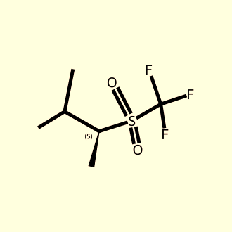 CC(C)[C@H](C)S(=O)(=O)C(F)(F)F